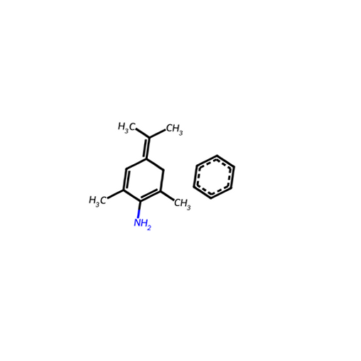 CC1=CC(=C(C)C)CC(C)=C1N.c1ccccc1